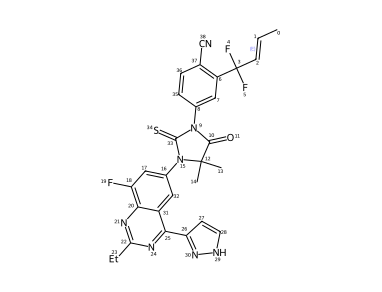 C/C=C/C(F)(F)c1cc(N2C(=O)C(C)(C)N(c3cc(F)c4nc(CC)nc(-c5cc[nH]n5)c4c3)C2=S)ccc1C#N